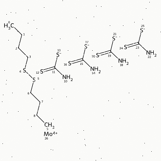 CCCCSSCCCC.NC(=S)[S-].NC(=S)[S-].NC(=S)[S-].NC(=S)[S-].[Mo+4]